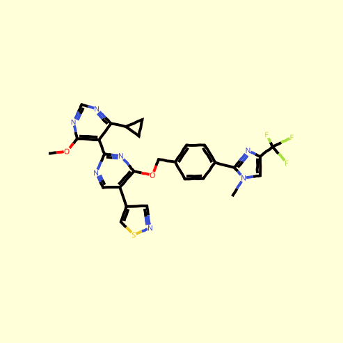 COc1ncnc(C2CC2)c1-c1ncc(-c2cnsc2)c(OCc2ccc(-c3nc(C(F)(F)F)cn3C)cc2)n1